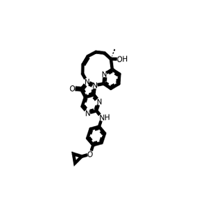 C[C@@]1(O)CC/C=C\Cn2c(=O)c3cnc(Nc4ccc(OC5CC5)cc4)nc3n2-c2cccc1n2